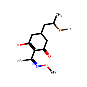 CCCO/N=C(/CCC)C1=C(O)CC(CC(C)SCC)CC1=O